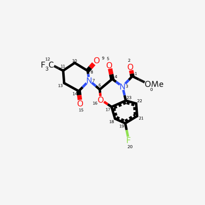 COC(=O)N1C(=O)C(N2C(=O)CC(C(F)(F)F)CC2=O)Oc2cc(F)ccc21